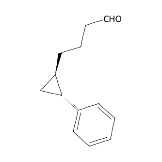 O=CCCC[C@@H]1C[C@H]1c1ccccc1